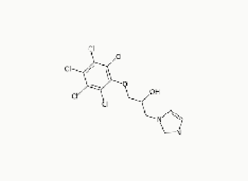 OC(COc1c(Cl)c(Cl)c(Cl)c(Cl)c1Cl)Cn1ccnc1